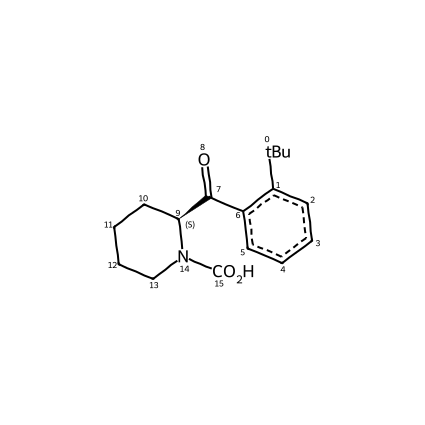 CC(C)(C)c1ccccc1C(=O)[C@@H]1CCCCN1C(=O)O